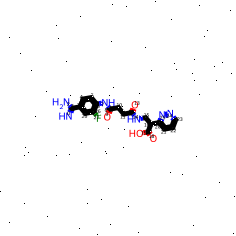 N=C(N)c1ccc(NC(=O)CCC(=O)NCC(C(=O)O)c2cccnn2)c(F)c1